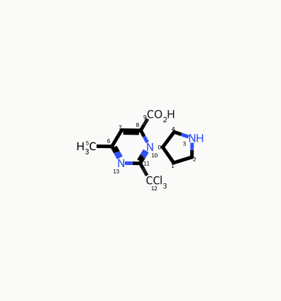 C1CCNC1.Cc1cc(C(=O)O)nc(C(Cl)(Cl)Cl)n1